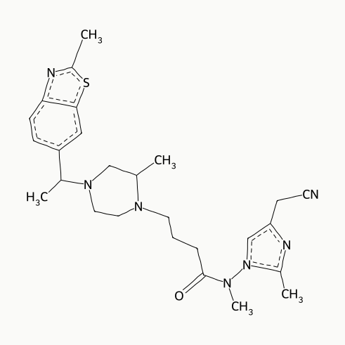 Cc1nc2ccc(C(C)N3CCN(CCCC(=O)N(C)n4cc(CC#N)nc4C)C(C)C3)cc2s1